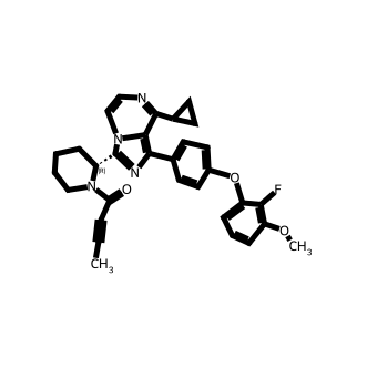 CC#CC(=O)N1CCCC[C@@H]1c1nc(-c2ccc(Oc3cccc(OC)c3F)cc2)c2c(C3CC3)nccn12